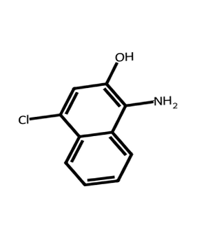 Nc1c(O)cc(Cl)c2ccccc12